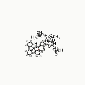 CC1(C)O[C@@H]2[C@H](O1)[C@@H](CO[PH](=O)O)O[C@H]2n1ncc2c(NC(c3ccccc3)(c3ccccc3)c3ccccc3)ncnc21.CN(C)C